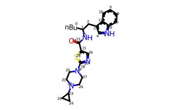 CCCCC(Cc1c[nH]c2ccccc12)NC(=O)c1cnc(N2CCN(C3CC3)CC2)s1